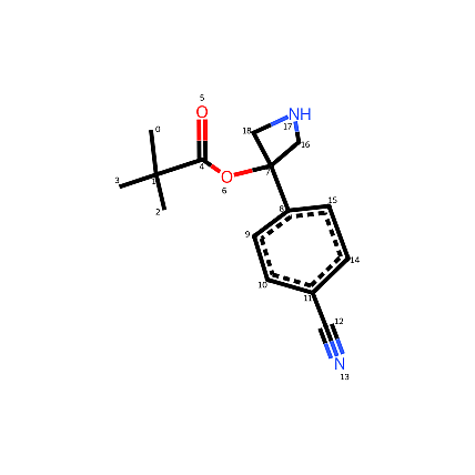 CC(C)(C)C(=O)OC1(c2ccc(C#N)cc2)CNC1